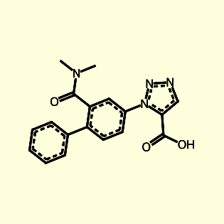 CN(C)C(=O)c1cc(-n2nncc2C(=O)O)ccc1-c1ccccc1